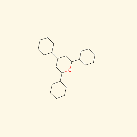 C1CCC(C2CC(C3CCCCC3)OC(C3CCCCC3)C2)CC1